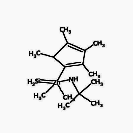 CC1=C(C)C(C)[C]([Zn]([CH3])([CH3])(=[SiH2])[NH]C(C)(C)C)=C1C